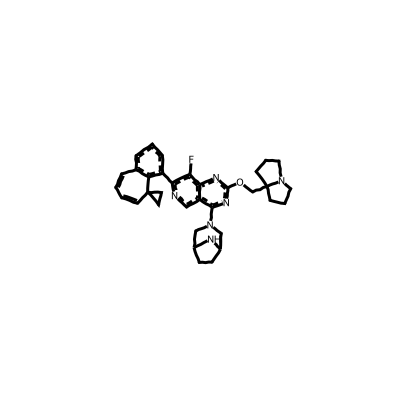 Fc1c(-c2cccc3c2C2(C=CC=C3)CC2)ncc2c(N3CC4CCC(C3)N4)nc(OCC34CCCN3CCC4)nc12